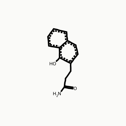 NC(=O)CCc1ccc2ccccc2c1O